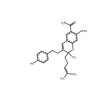 CCCCCc1cc2c(cc1C(N)=O)C=C(CCc1ccc(O)cc1)C(C)(CCC=C(C)C)O2